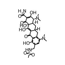 CN(C)c1cc(CNS(C)(=O)=O)c(O)c2c1C[C@H]1C[C@@H]3[C@H](N(C)C)C(O)=C(C(N)=O)C(=O)[C@@]3(O)C(O)=C1C2=O